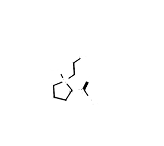 C[N+]1(CCO)CCC[C@H]1C(N)=O